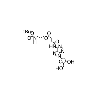 CC(C)(C)OC(=O)NCCCOC(=O)CCC(=O)Nc1ncnc2c1ncn2C1CC(O)C(CO)O1